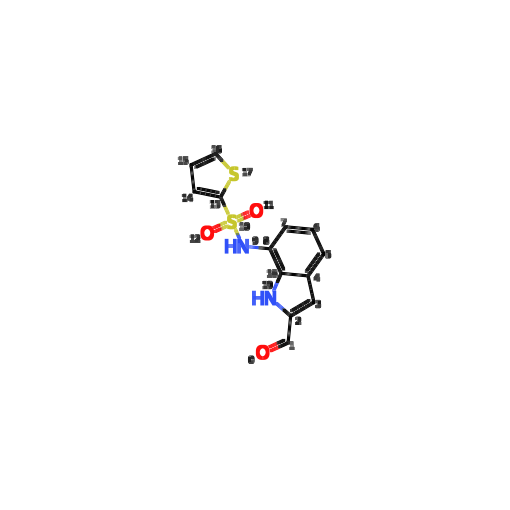 O=Cc1cc2cccc(NS(=O)(=O)c3cccs3)c2[nH]1